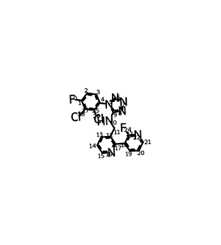 Fc1ccc(-n2nnnc2NCc2cccnc2-c2cccnc2F)c(Cl)c1Cl